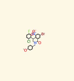 COc1ccc(CN2CC(c3cc(F)ccc3Cl)c3c(cc(Br)cc3[N+](=O)[O-])C2=O)cc1